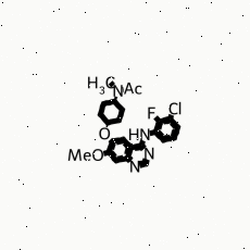 COc1cc2ncnc(Nc3cccc(Cl)c3F)c2cc1O[C@H]1CC[C@H](N(C)C(C)=O)CC1